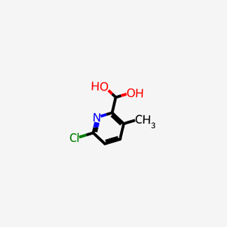 Cc1ccc(Cl)nc1C(O)O